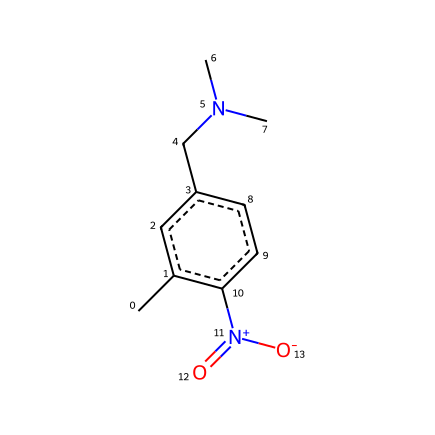 Cc1cc(CN(C)C)ccc1[N+](=O)[O-]